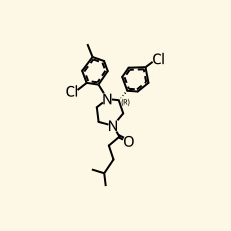 Cc1ccc(N2CCN(C(=O)CCC(C)C)C[C@H]2c2ccc(Cl)cc2)c(Cl)c1